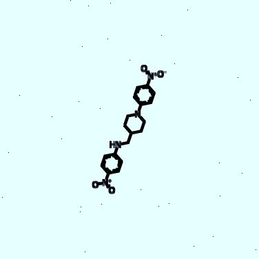 O=[N+]([O-])c1ccc(NCC2CCN(c3ccc([N+](=O)[O-])cc3)CC2)cc1